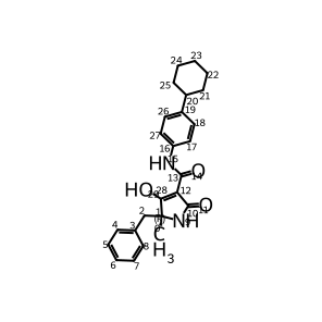 C[C@]1(Cc2ccccc2)NC(=O)C(C(=O)Nc2ccc(C3CCCCC3)cc2)=C1O